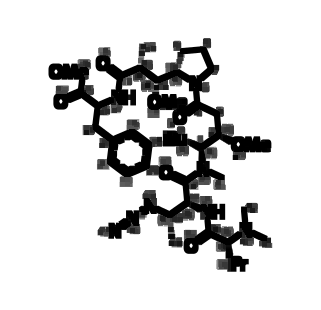 CC[C@H](C)[C@@H]([C@@H](CC(=O)N1CCC[C@H]1[C@H](OC)[C@@H](C)C(=O)NC(Cc1ccccc1)C(=O)OC)OC)N(C)C(=O)[C@@H](NC(=O)[C@H](C(C)C)N(C)C)[C@H](C)N=[N+]=[N-]